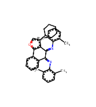 Cc1cccc(C)c1/N=C1/C(=N/c2c(C)cccc2C)c2c(C3CCCCC3)coc2-c2ccccc21